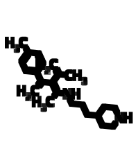 C=C(C)/C(C(=C)c1ccc(C)cc1)=C(/C)NCCCC1CCNCC1